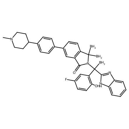 BC1(B)c2ccc(-c3ccc(C4CCN(C)CC4)cc3)cc2C(=O)N1C(B)(c1nc2ccccc2[nH]1)c1cc(F)ccc1O